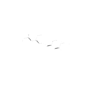 C[SiH2]C(C)=CC(=[CH][V][CH]=C(C=C(C)[SiH2]C)[SiH2]C)[SiH2]C